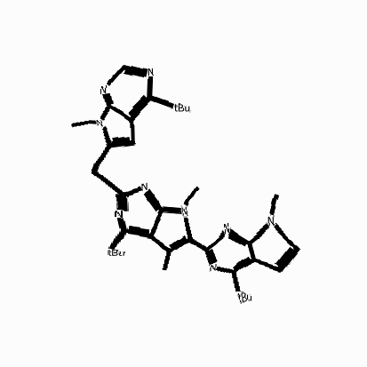 Cc1c(-c2nc(C(C)(C)C)c3ccn(C)c3n2)n(C)c2nc(Cc3cc4c(C(C)(C)C)ncnc4n3C)nc(C(C)(C)C)c12